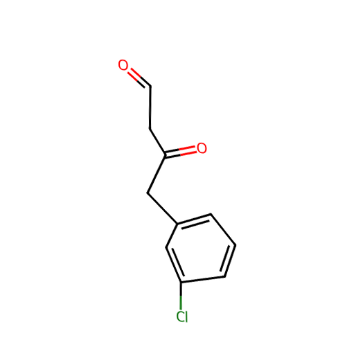 O=CCC(=O)Cc1cccc(Cl)c1